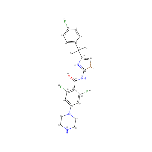 CC(C)(c1ccc(F)cc1)c1csc(NC(=O)c2c(F)cc(N3CCNCC3)cc2F)n1